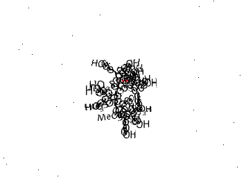 COC1OC(COC2OC(COC3OC(COC4OC(COSOOO)C(OSOOO)C(OSOOO)C4OS(=O)(=O)O)C(OSOOO)C(OC4CC(COSOOO)C(OSOOO)C(OSOOO)C4OS(=O)(=O)O)C3OS(=O)(=O)O)C(OSOOO)C(OSOOO)C2OS(=O)(=O)O)C(OSOOO)C(OC2OC(COSOOO)C(OSOOO)C(OSOOO)C2OS(=O)(=O)O)C1OS(=O)(=O)O